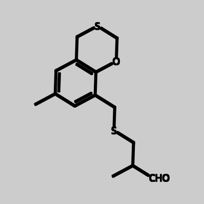 Cc1cc2c(c(CSCC(C)C=O)c1)OCSC2